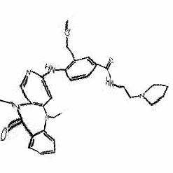 COCc1cc(C(=O)NCCN2CCCC2)ccc1Nc1cc2c(cn1)N(C)C(=O)c1ccccc1N2C